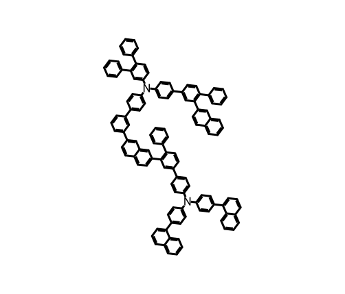 c1ccc(-c2ccc(-c3ccc(N(c4ccc(-c5cccc(-c6ccc7ccc(-c8cc(-c9ccc(N(c%10ccc(-c%11cccc%12ccccc%11%12)cc%10)c%10ccc(-c%11cccc%12ccccc%11%12)cc%10)cc9)ccc8-c8ccccc8)cc7c6)c5)cc4)c4ccc(-c5ccccc5)c(-c5ccccc5)c4)cc3)cc2-c2ccc3ccccc3c2)cc1